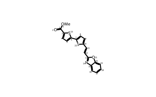 COC(=O)c1ccc(-c2ccc(/C=C/c3nc4ccccc4o3)s2)s1